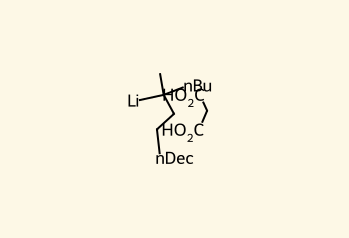 O=C(O)CC(=O)O.[Li][C](C)(CCCC)CCCCCCCCCCCC